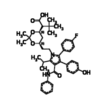 CC(C)c1c(C(=O)Nc2ccccc2)c(-c2ccc(O)cc2)c(-c2ccc(F)cc2)n1CC[C@@H]1C[C@H](C(C(=O)O)C(C)(C)C)OC(C)(C)O1